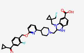 O=C(O)c1ccc2c(c1)N(CC1(CF)CC1)C(CN1CCC(c3cccc(OCc4ccc(C(=O)C5CC5)cc4F)n3)CC1)N2